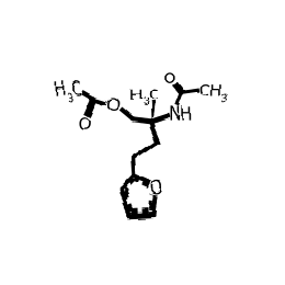 CC(=O)N[C@](C)(CCc1ccco1)COC(C)=O